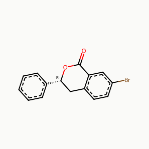 O=C1O[C@@H](c2ccccc2)Cc2ccc(Br)cc21